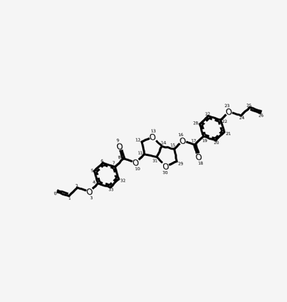 C=CCOc1ccc(C(=O)OC2COC3C(OC(=O)c4ccc(OCC=C)cc4)COC23)cc1